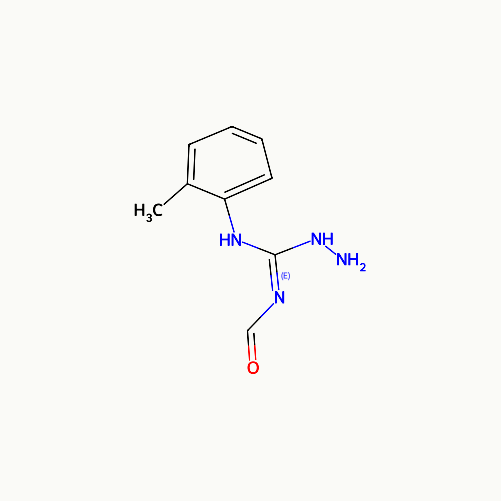 Cc1ccccc1N/C(=N\C=O)NN